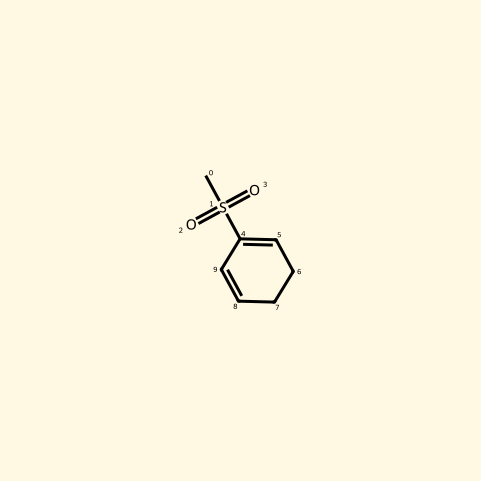 CS(=O)(=O)C1=CCCC=C1